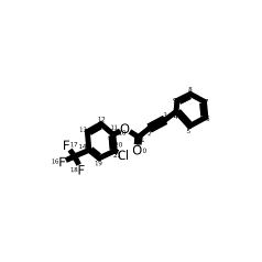 O=C(C#Cc1ccccc1)Oc1ccc(C(F)(F)F)cc1Cl